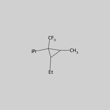 CCC1C(C)C1(C(C)C)C(F)(F)F